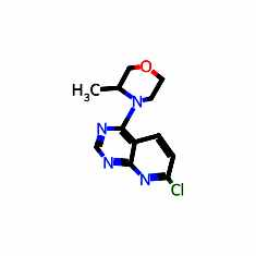 CC1COCCN1c1ncnc2nc(Cl)ccc12